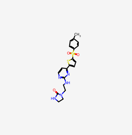 Cc1ccc(S(=O)(=O)c2ccc(-c3ccnc(NCCN4CCNC4=O)n3)s2)cc1